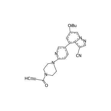 C#CC(=O)N1CCN(c2ccc(-c3cc(OCC(C)C)cn4ncc(C#N)c34)cn2)CC1